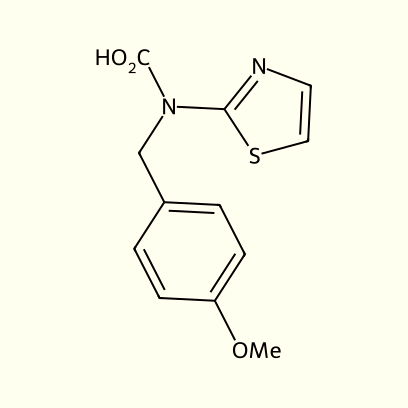 COc1ccc(CN(C(=O)O)c2nccs2)cc1